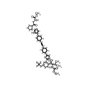 COC(=O)NCC(=O)N1CCC[C@H]1c1ncc(-c2ccc(C#Cc3ccc(-c4c[nH]c([C@@H]5CN(CC(F)(F)F)CCN5C(=O)[C@@H](NC(=O)OC)C(C)C)n4)cc3)cc2)[nH]1